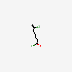 C=C(Cl)CCCCC(=O)Cl